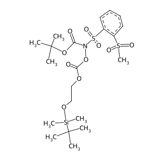 CC(C)(C)OC(=O)N(OC(=O)OCCO[Si](C)(C)C(C)(C)C)S(=O)(=O)c1ccccc1S(C)(=O)=O